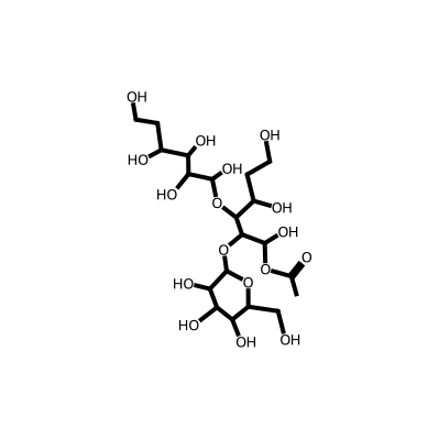 CC(=O)OC(O)C(OC1OC(CO)C(O)C(O)C1O)C(OC(O)C(O)C(O)C(O)CCO)C(O)CCO